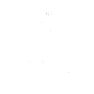 CC(C)N1C(=O)C(c2ccccc2)N(C(C)CC(=O)OC(=O)C(F)(F)F)C(=O)c2cc(CCCC(S)NC(=N)N)ccc21